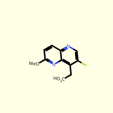 COc1ccc2ncc(F)c(CC(=O)O)c2n1